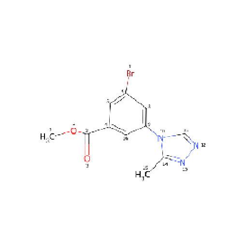 COC(=O)c1cc(Br)cc(-n2cnnc2C)c1